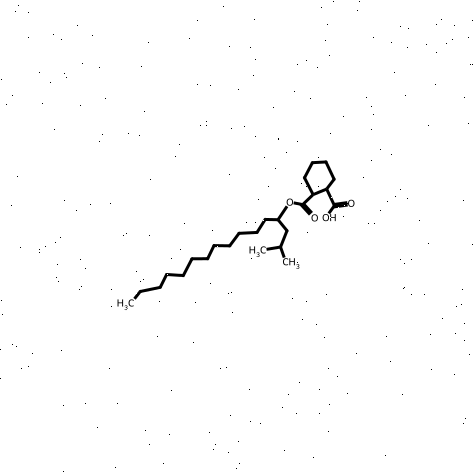 CCCCCCCCCCCCC(CC(C)C)OC(=O)C1CCCCC1C(=O)O